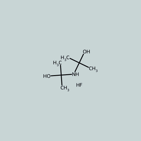 CC(C)(O)NC(C)(C)O.F